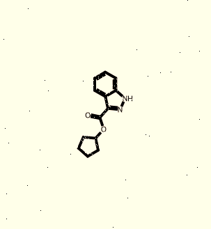 O=C(OC1CCCC1)c1n[nH]c2ccccc12